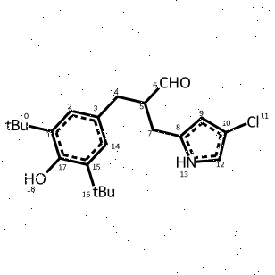 CC(C)(C)c1cc(CC(C=O)Cc2cc(Cl)c[nH]2)cc(C(C)(C)C)c1O